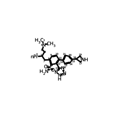 CCCC(CCN(C)C)Cc1ccc(-c2ccc(C3CNC3)cc2)c(-c2nn[nH]n2)c1S(N)(=O)=O